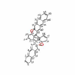 c1ccc2cc3cc4c(cc3cc2c1)oc1cccc2c1c4c1cccc3oc4cc5cc6ccccc6cc5cc4c2c31